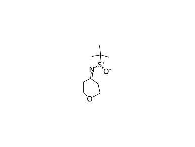 CC(C)(C)[S@@+]([O-])N=C1CCOCC1